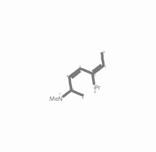 C/C=C(\C=C/C(C)NC)C(C)C